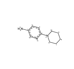 Nc1ccc(N2CCCCC2)nc1